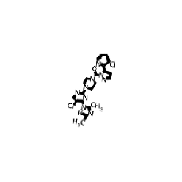 Cc1nc(C)n(-c2nc(N3CCN(C(=O)N4N=CCC4c4ncccc4Cl)CC3)ncc2Cl)n1